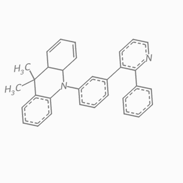 CC1(C)c2ccccc2N(c2cccc(-c3cccnc3-c3ccccc3)c2)C2C=CC=CC21